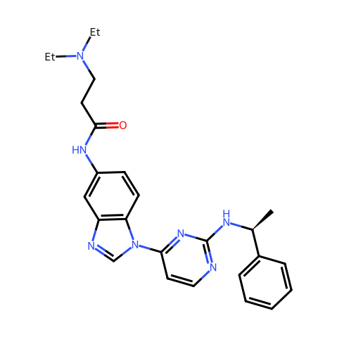 CCN(CC)CCC(=O)Nc1ccc2c(c1)ncn2-c1ccnc(N[C@@H](C)c2ccccc2)n1